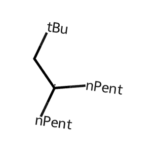 CCCCC[C](CCCCC)CC(C)(C)C